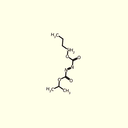 CCC[SiH2]OC(=O)/N=N/C(=O)OC(C)C